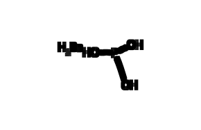 OP(O)O.[BaH2]